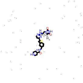 CC1(C)C(=O)NC(=O)N1CCNc1nccc(-c2cc3cc(CNC(=O)C4CCNCC4)ccc3s2)n1